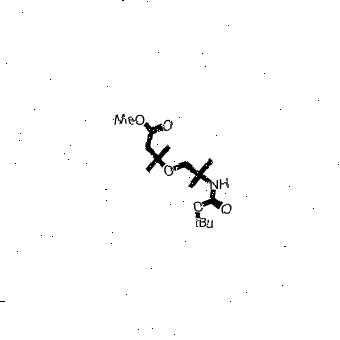 COC(=O)CC(C)(C)OCC(C)(C)NC(=O)OC(C)(C)C